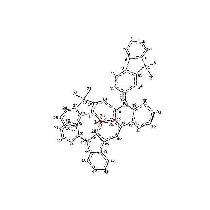 CC1(C)c2ccccc2-c2ccc(N(c3ccc4c(c3)C(C)(C)c3ccccc3-4)c3ccccc3-c3ccc4c(c3)c3ccccc3n4-c3ccccc3)cc21